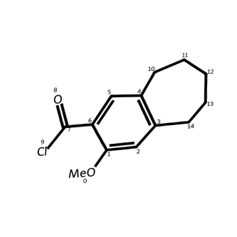 COc1cc2c(cc1C(=O)Cl)CCCCC2